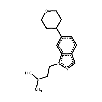 CN(C)CCn1ncc2ccc(C3CCOCC3)cc21